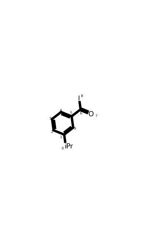 CC(C)c1cccc(C(=O)I)c1